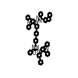 c1ccc(-c2ccc3c(c2)c2c4c5ccccc5n5c6ccccc6c(cc2n3-c2nc(-c3ccc(-c6ccc(-c7ccc8c(c7)c7c9c%10ccccc%10n%10c%11ccccc%11c(cc7n8-c7nc(-c8ccc%11ccc%12ccccc%12c%11c8)c8ccccc8n7)c9%10)cc6)cc3)nc3c2oc2ccccc23)c45)cc1